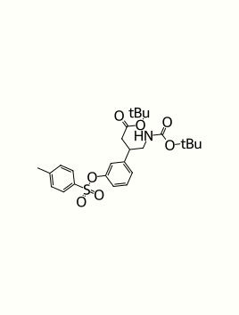 Cc1ccc(S(=O)(=O)Oc2cccc(C(CNC(=O)OC(C)(C)C)CC(=O)OC(C)(C)C)c2)cc1